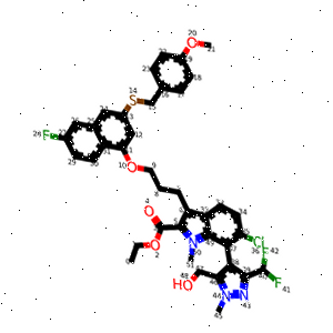 CCOC(=O)c1c(CCCOc2cc(SCc3ccc(OC)cc3)cc3cc(F)ccc23)c2ccc(Cl)c(-c3c(C(F)F)nn(C)c3CO)c2n1C